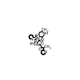 Cc1c(C(=O)N[C@@H](CC(C)C)C(=O)N([C@H]2CC[C@@H](C)NCC2=O)S(=O)(=O)c2ccccn2)oc2cccnc12